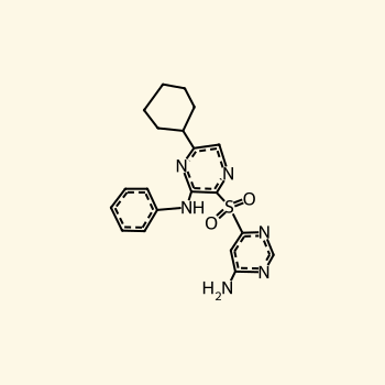 Nc1cc(S(=O)(=O)c2ncc(C3CCCCC3)nc2Nc2ccccc2)ncn1